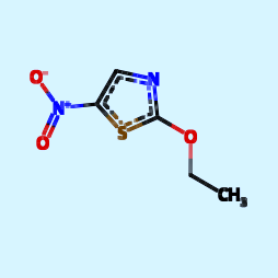 CCOc1ncc([N+](=O)[O-])s1